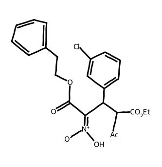 CCOC(=O)C(C(C)=O)C(/C(C(=O)OCCc1ccccc1)=[N+](/[O-])O)c1cccc(Cl)c1